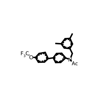 CC(=O)N(Cc1cc(C)cc(C)c1)c1ccc(-c2ccc(OC(F)(F)F)cc2)cc1